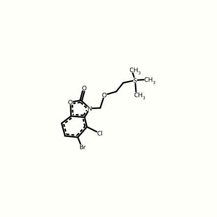 CS(C)(C)CCOCn1c(=O)oc2ccc(Br)c(Cl)c21